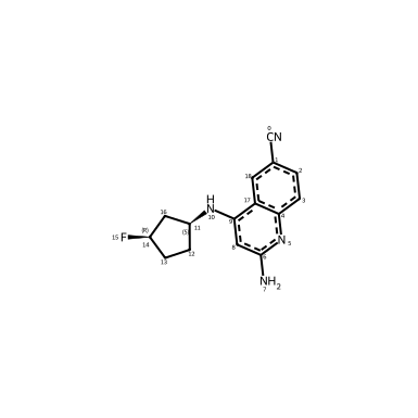 N#Cc1ccc2nc(N)cc(N[C@H]3CC[C@@H](F)C3)c2c1